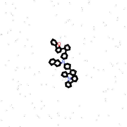 c1ccc(-c2ccccc2-n2c3ccccc3c3ccccc32)c(-c2ccc(N(c3ccc(-c4ccccc4-c4cccc5c4oc4ccccc45)cc3)c3ccc4ccccc4c3)cc2)c1